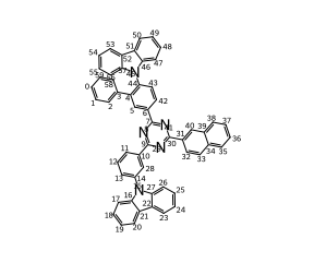 c1ccc(-c2cc(-c3nc(-c4cccc(-n5c6ccccc6c6ccccc65)c4)nc(-c4ccc5ccccc5c4)n3)ccc2-n2c3ccccc3c3ccccc32)cc1